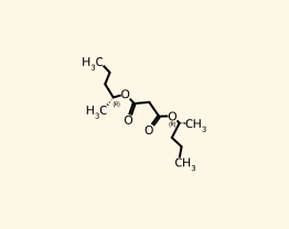 CCC[C@@H](C)OC(=O)CC(=O)O[C@H](C)CCC